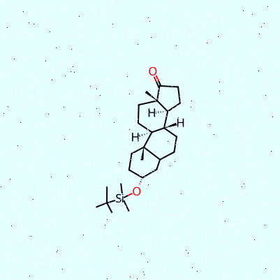 CC(C)(C)[Si](C)(C)O[C@@H]1CC[C@@]2(C)C(CC[C@@H]3[C@@H]2CC[C@]2(C)C(=O)CC[C@@H]32)C1